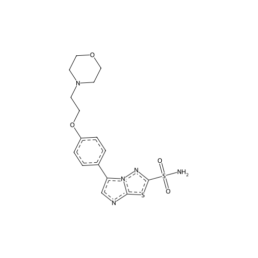 NS(=O)(=O)c1nn2c(-c3ccc(OCCN4CCOCC4)cc3)cnc2s1